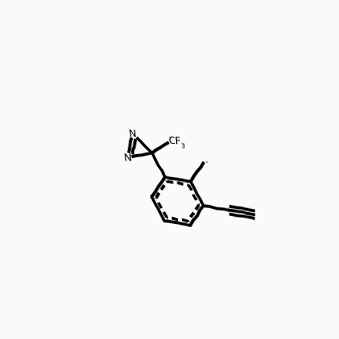 C#Cc1cccc(C2(C(F)(F)F)N=N2)c1[CH2]